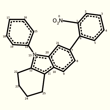 O=[N+]([O-])c1ccccc1-c1ccc2c3c(n(-c4ccccc4)c2c1)CCCC3